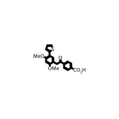 COc1cc(OC)c(-c2cccs2)cc1CC(=O)c1ccc(C(=O)O)cc1